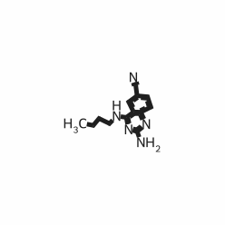 CCCCNc1nc(N)nc2ccc(C#N)cc12